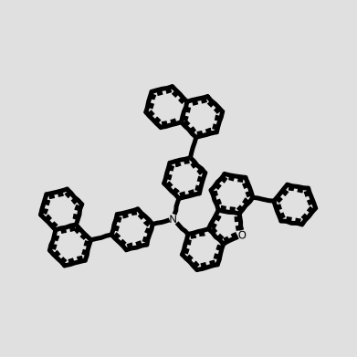 c1ccc(-c2cccc3c2oc2cccc(N(c4ccc(-c5cccc6ccccc56)cc4)c4ccc(-c5cccc6ccccc56)cc4)c23)cc1